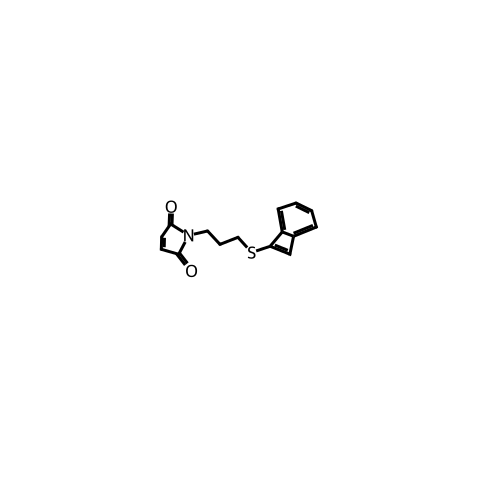 O=C1C=CC(=O)N1CCCSC1=Cc2ccccc21